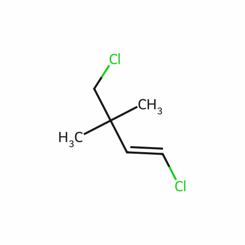 CC(C)(C=CCl)CCl